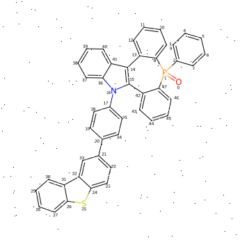 O=P1(c2ccccc2)c2ccccc2-c2c(n(-c3ccc(-c4ccc5sc6ccccc6c5c4)cc3)c3ccccc23)-c2ccccc21